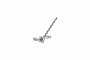 CCCCCCCCCCCCCC(O)COP(=O)([O-])OCC[N+](C)(C)C